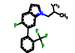 CC(C)Cn1ccc2cc(F)c(-c3ccccc3C(F)(F)F)cc21